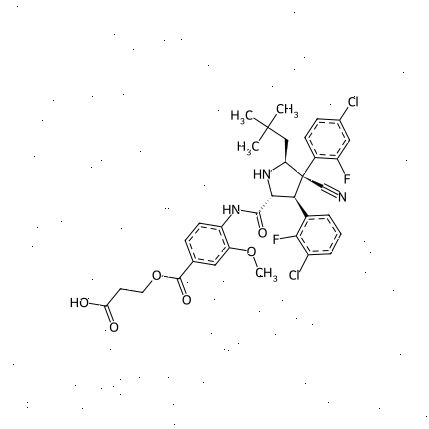 COc1cc(C(=O)OCCC(=O)O)ccc1NC(=O)[C@@H]1N[C@@H](CC(C)(C)C)[C@](C#N)(c2ccc(Cl)cc2F)[C@H]1c1cccc(Cl)c1F